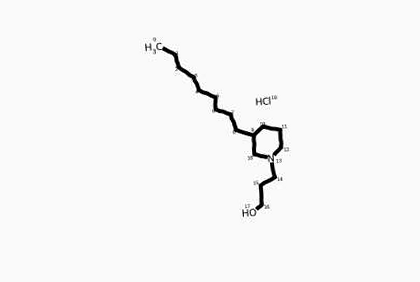 CCCCCCCCCC1CCCN(CCCO)C1.Cl